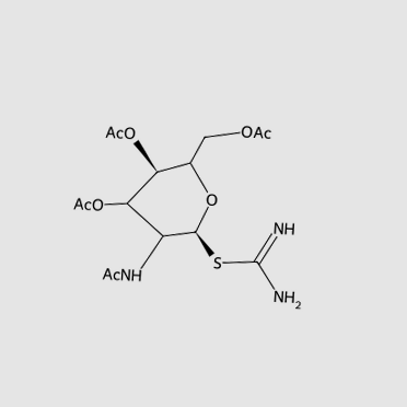 CC(=O)NC1C(OC(C)=O)[C@@H](OC(C)=O)C(COC(C)=O)O[C@H]1SC(=N)N